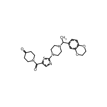 CC(c1ccc2c(c1)OCCO2)N1CCN(c2ncc(C(=O)N3CCC(=O)CC3)s2)CC1